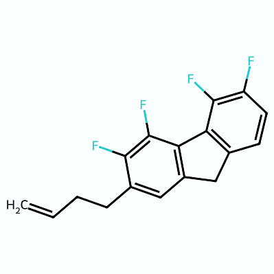 C=CCCc1cc2c(c(F)c1F)-c1c(ccc(F)c1F)C2